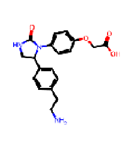 NCCc1ccc(C2CNC(=O)N2c2ccc(OCC(=O)O)cc2)cc1